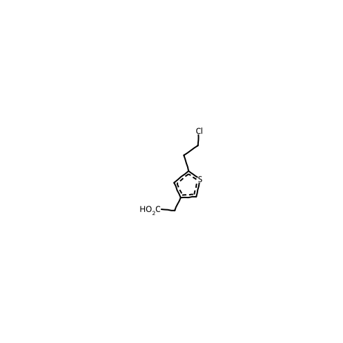 O=C(O)Cc1csc(CCCl)c1